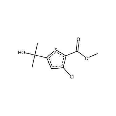 COC(=O)c1sc(C(C)(C)O)cc1Cl